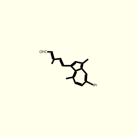 CC(/C=C/c1cc(C)c2cc(C(C)C)ccc(C)c1-2)=C\C=O